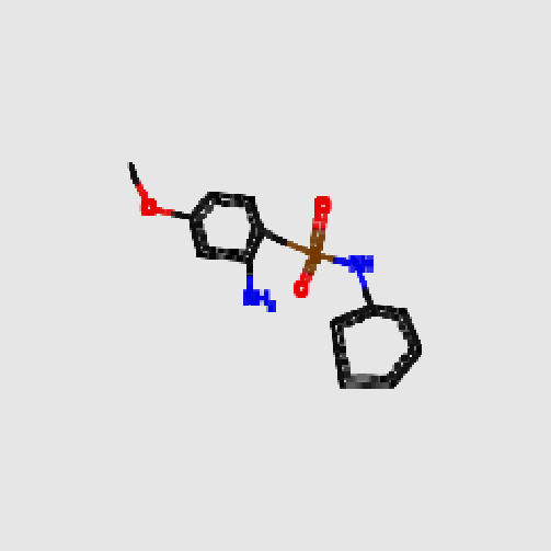 COc1ccc(S(=O)(=O)Nc2ccccc2)c(N)c1